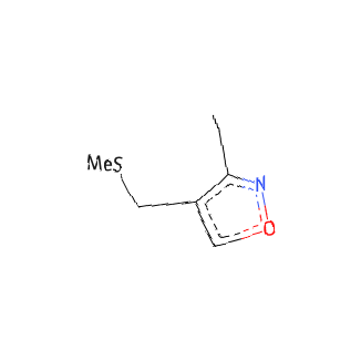 CSCc1conc1C